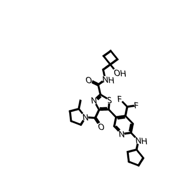 CC1CCCN1C(=O)c1nc(C(=O)NCC2(O)CCC2)sc1-c1cnc(NC2CCCC2)cc1C(F)F